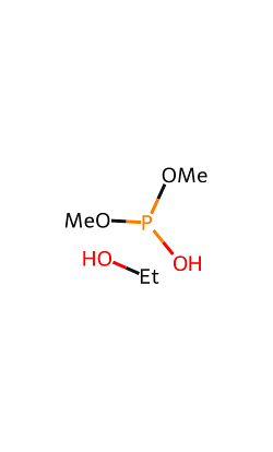 CCO.COP(O)OC